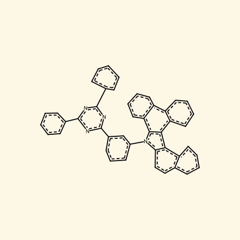 c1ccc(-c2nc(-c3ccccc3)nc(-c3cccc(-n4c5ccc6ccccc6c5c5c6ccccc6c6ccccc6c54)c3)n2)cc1